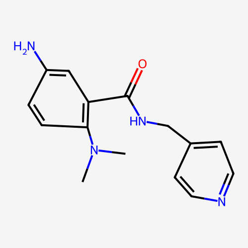 CN(C)c1ccc(N)cc1C(=O)NCc1ccncc1